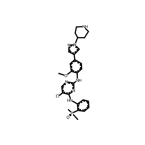 COc1cc(-c2cnn(C3CCNCC3)c2)ccc1Nc1ncc(Cl)c(Nc2ccccc2P(C)(C)=O)n1